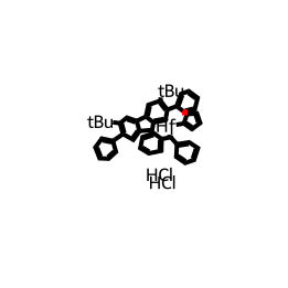 CC(C)(C)c1cc2c(cc1-c1ccccc1)Cc1c-2cc(C(C)(C)C)c(-c2ccccc2)[c]1[Hf]([C]1=CC=CC1)=[C](c1ccccc1)c1ccccc1.Cl.Cl